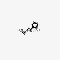 C1CO1.CCCCCCCCCc1ccccc1O.O